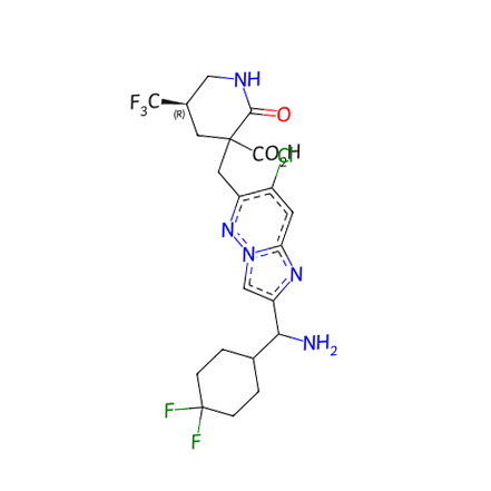 NC(c1cn2nc(CC3(C(=O)O)C[C@@H](C(F)(F)F)CNC3=O)c(Cl)cc2n1)C1CCC(F)(F)CC1